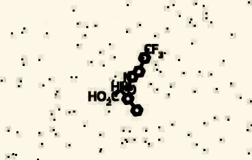 O=C(O)CC(NC(=O)c1cc2ccc(-c3ccc(C(F)(F)F)cc3)cc2cn1)c1ccc(-c2ccccc2)cc1